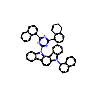 C1=Cc2c(cccc2-c2nc(-c3cccc4ccccc34)nc(-n3c4ccccc4c4ccc5c(c6ccccc6n5-c5cccc6ccccc56)c43)n2)CC1